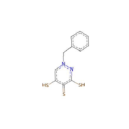 S=c1c(S)cn(Cc2ccccc2)nc1S